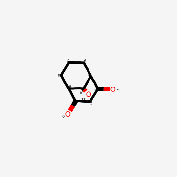 O=C1CC(=O)C2CCCC1C2=O